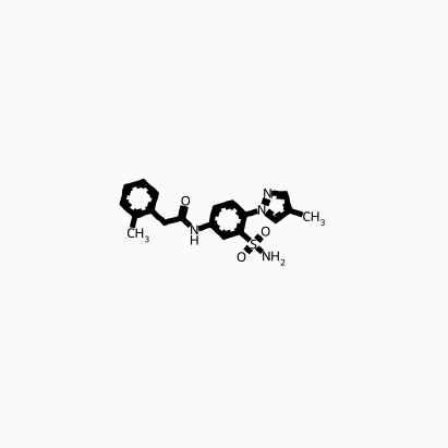 Cc1cnn(-c2ccc(NC(=O)Cc3ccccc3C)cc2S(N)(=O)=O)c1